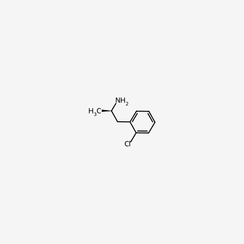 C[C@@H](N)Cc1ccccc1Cl